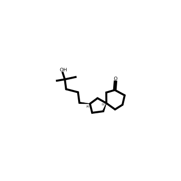 CC(C)(O)CCC[C@@H]1CC[C@@]2(CCCC(=O)C2)C1